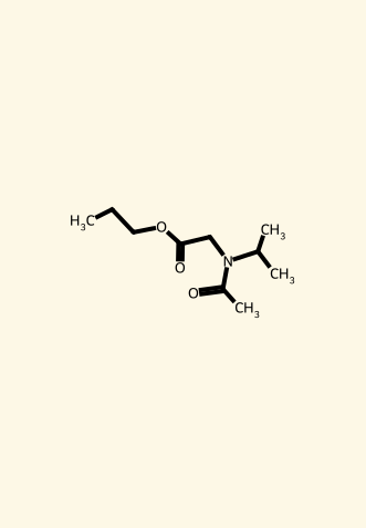 CCCOC(=O)CN(C(C)=O)C(C)C